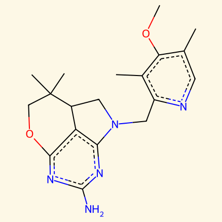 COc1c(C)cnc(CN2CC3c4c(nc(N)nc42)OCC3(C)C)c1C